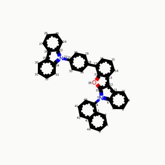 c1ccc2c(-n3c4ccccc4c4c5cccc(-c6ccc(-n7c8ccccc8c8ccccc87)cc6)c5oc43)cccc2c1